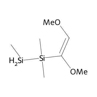 COC=C(OC)[Si](C)(C)[SiH2]C